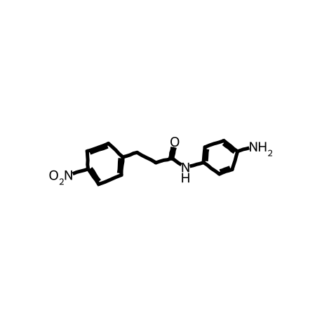 Nc1ccc(NC(=O)CCc2ccc([N+](=O)[O-])cc2)cc1